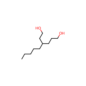 CCCCCC(CCO)CCCO